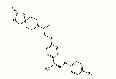 C/C(=N/Oc1ccc(C(F)(F)F)cc1)c1ccc(OCC(=O)N2CCC3(CC2)CNC(=O)O3)cc1